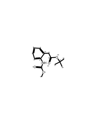 COC(=O)Nc1ccccc1CC(=O)OC(C)(C)C